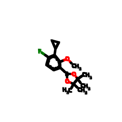 COc1c(B2OC(C)(C)C(C)(C)O2)ccc(F)c1C1CC1